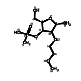 B[C@@H]1O[C@H](CO)[C@H](OP(C)(=O)O)C1OCCOC